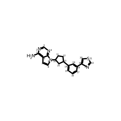 Nc1ncnc2c1ccn2C1CCC(c2cccc(-c3cscn3)c2)C1